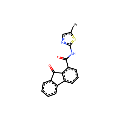 CC(C)c1cnc(NC(=O)c2cccc3c2C(=O)c2ccccc2-3)s1